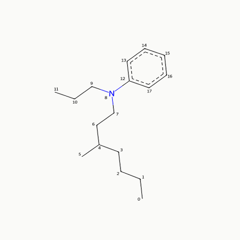 CCCCC(C)CCN(CCC)c1ccccc1